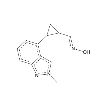 Cn1cc2c(C3CC3C=NO)cccc2n1